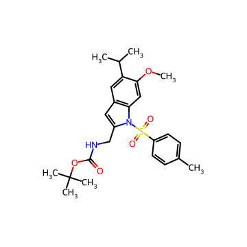 COc1cc2c(cc1C(C)C)cc(CNC(=O)OC(C)(C)C)n2S(=O)(=O)c1ccc(C)cc1